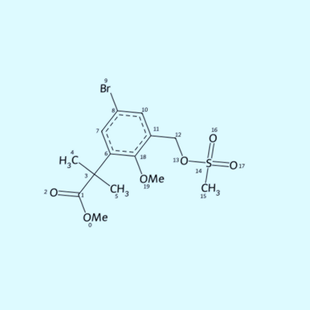 COC(=O)C(C)(C)c1cc(Br)cc(COS(C)(=O)=O)c1OC